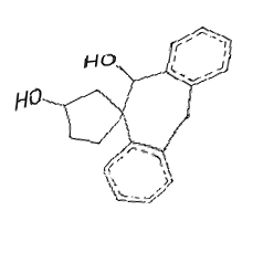 OC1CCC2(C1)c1ccccc1Cc1ccccc1C2O